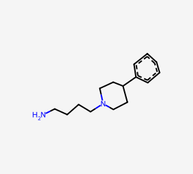 NCCCCN1CCC(c2ccccc2)CC1